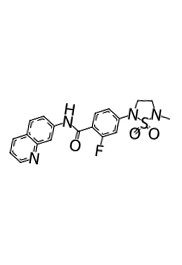 CN1CCN(c2ccc(C(=O)Nc3ccc4cccnc4c3)c(F)c2)S1(=O)=O